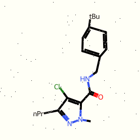 CCCc1nn(C)c(C(=O)NCc2ccc(C(C)(C)C)cc2)c1Cl